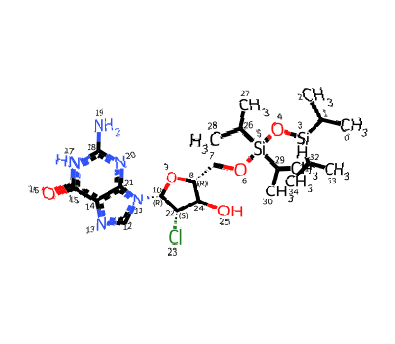 CC(C)[SiH](O[Si](OC[C@H]1O[C@@H](n2cnc3c(=O)[nH]c(N)nc32)[C@@H](Cl)C1O)(C(C)C)C(C)C)C(C)C